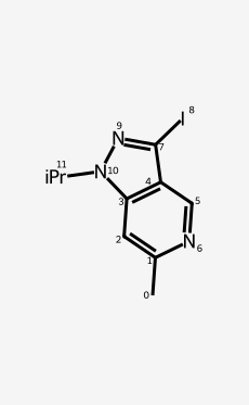 Cc1cc2c(cn1)c(I)nn2C(C)C